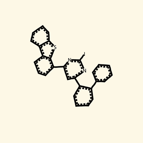 Ic1nc(-c2ccccc2-c2ccccc2)cc(-c2cccc3c2sc2ccccc23)n1